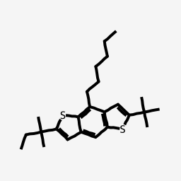 CCCCCCc1c2cc(C(C)(C)C)sc2cc2cc(C(C)(C)CC)sc12